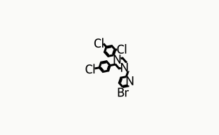 Clc1ccc(C2CN(Cc3ccc(Br)cn3)CCN2c2ccc(Cl)cc2Cl)cc1